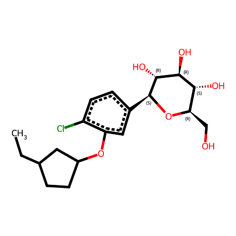 CCC1CCC(Oc2cc([C@@H]3O[C@H](CO)[C@@H](O)[C@H](O)[C@H]3O)ccc2Cl)C1